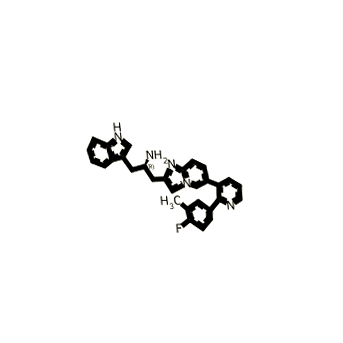 Cc1cc(-c2ncccc2-c2ccc3nc(C[C@H](N)Cc4c[nH]c5ccccc45)cn3c2)ccc1F